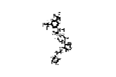 O=C(Nc1cc(C(F)(F)F)cc(C(F)(F)F)c1)N1CCN(c2nsnc2OCCn2ccnc2)CC1